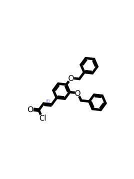 O=C(Cl)/C=C/c1ccc(OCc2ccccc2)c(OCc2ccccc2)c1